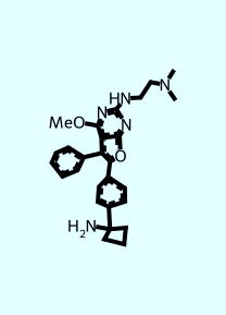 COc1nc(NCCN(C)C)nc2oc(-c3ccc(C4(N)CCC4)cc3)c(-c3ccccc3)c12